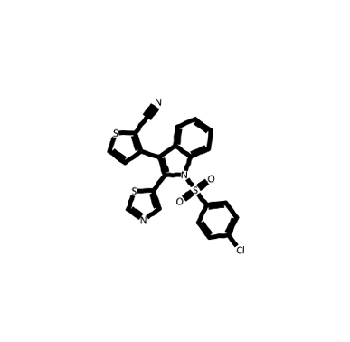 N#Cc1sccc1-c1c(-c2cncs2)n(S(=O)(=O)c2ccc(Cl)cc2)c2ccccc12